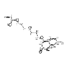 C=CC(=O)OCCCSCCCOc1cc(=O)oc2cc(C)ccc12